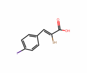 O=C(O)C(S)=Cc1ccc(I)cc1